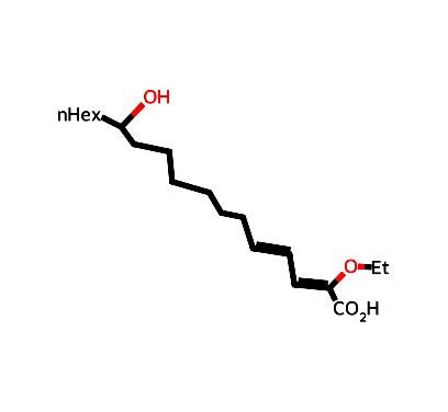 CCCCCCC(O)CCCCCCC=CC=C(OCC)C(=O)O